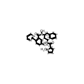 Cc1ccc(-c2ncccn2)c(C(=O)N(C)C(CCNC(=O)c2cccn2C)Cc2ccccc2)c1